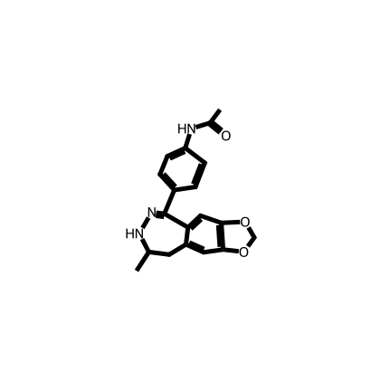 CC(=O)Nc1ccc(C2=NNC(C)Cc3cc4c(cc32)OCO4)cc1